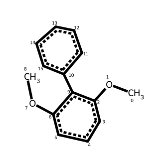 COc1[c]ccc(OC)c1-c1ccccc1